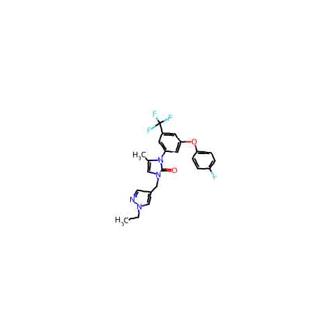 CCn1cc(Cn2cc(C)n(-c3cc(Oc4ccc(F)cc4)cc(C(F)(F)F)c3)c2=O)cn1